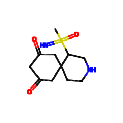 CS(=N)(=O)C1CNCCC12CC(=O)CC(=O)C2